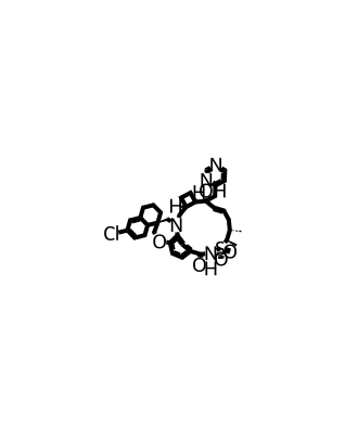 C[C@@H]1[C@@H](C)C/C=C/[C@@](O)(Cc2ccncn2)[C@@H]2CC[C@H]2CN2C[C@@]3(CCCC4=CC(Cl)=CCC43)COc3ccc(cc32)C(=O)NS1(=O)=O